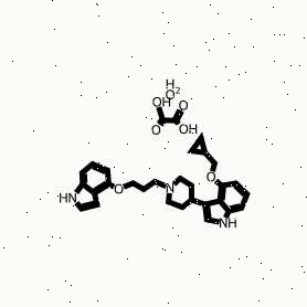 O.O=C(O)C(=O)O.c1cc(OCCCN2CCC(c3c[nH]c4cccc(OCC5CC5)c34)CC2)c2cc[nH]c2c1